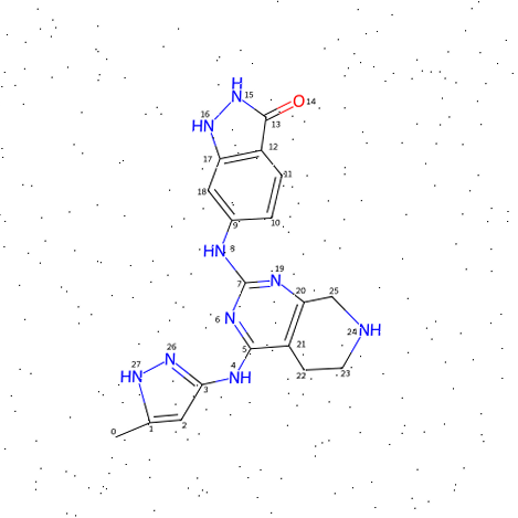 Cc1cc(Nc2nc(Nc3ccc4c(=O)[nH][nH]c4c3)nc3c2CCNC3)n[nH]1